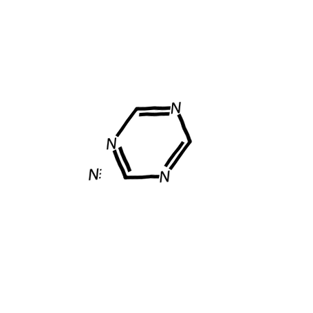 [N].c1ncncn1